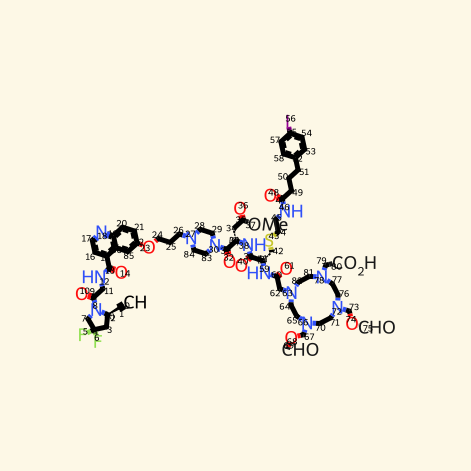 C#C[C@H]1CC(F)(F)CN1C(=O)CNC(=O)c1ccnc2ccc(OCCCN3CCN(C(=O)[C@H](CC(=O)OC)NC(=O)[C@H](CSCCNC(=O)CCCc4ccc(I)cc4)NC(=O)CN4CCN(COC=O)CCN(COC=O)CCN(CC(=O)O)CC4)CC3)cc12